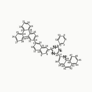 c1ccc(-c2nc(-c3ccc4ccc(-c5ccc6c7ccccc7c7ccccc7c6c5)cc4c3)nc(-c3ccc4ccc5ccccc5c4n3)n2)cc1